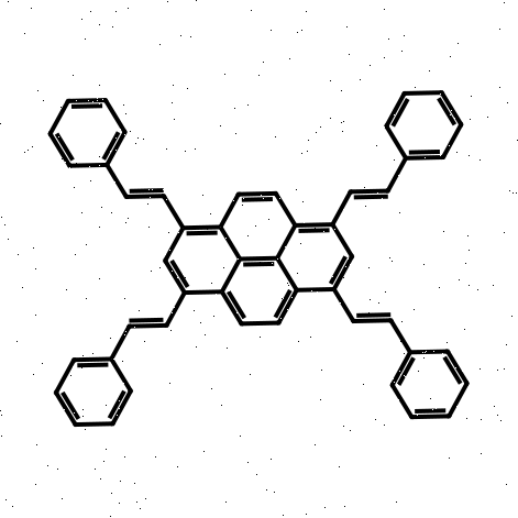 C(=Cc1cc(C=Cc2ccccc2)c2ccc3c(C=Cc4ccccc4)cc(C=Cc4ccccc4)c4ccc1c2c43)c1ccccc1